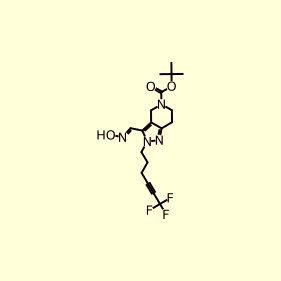 CC(C)(C)OC(=O)N1CCc2nn(CCCC#CC(F)(F)F)c(/C=N/O)c2C1